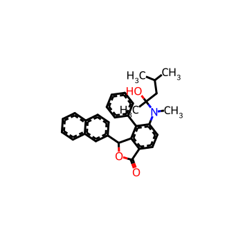 CC(C)CC(C)(O)N(C)c1ccc2c(c1-c1ccccc1)C(c1ccc3ccccc3c1)OC2=O